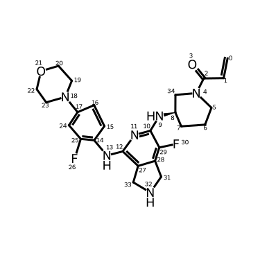 C=CC(=O)N1CCC[C@@H](Nc2nc(Nc3ccc(N4CCOCC4)cc3F)c3c(c2F)CNC3)C1